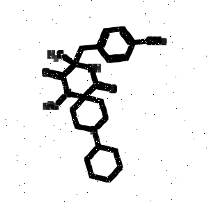 CCCCN1C(=O)[C@](C)(Cc2ccc(OC)cc2)NC(=O)C12CCN(C1CCCCC1)CC2